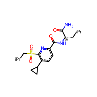 CC(C)C[C@H](NC(=O)c1ccc(C2CC2)c(S(=O)(=O)CC(C)C)n1)C(N)=O